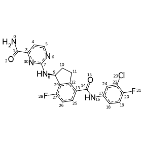 NC(=O)c1ccnc(N[C@H]2CCc3c(C(=O)Nc4ccc(F)c(Cl)c4)ccc(F)c32)n1